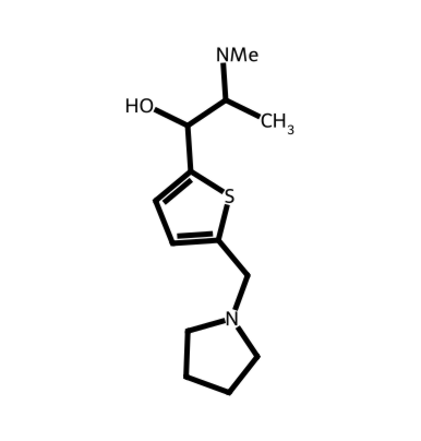 CNC(C)C(O)c1ccc(CN2CCCC2)s1